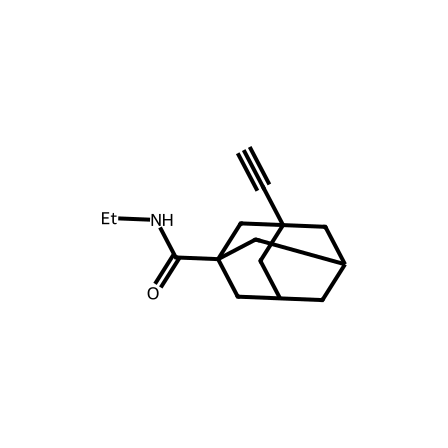 C#CC12CC3CC(C1)CC(C(=O)NCC)(C3)C2